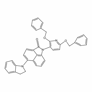 O=C1c2ccc(N3CCc4ccccc43)c3cccc(c23)N1c1ccc(OCc2ccccc2)nc1OCc1ccccc1